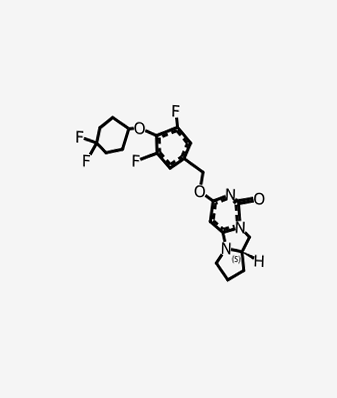 O=c1nc(OCc2cc(F)c(OC3CCC(F)(F)CC3)c(F)c2)cc2n1C[C@@H]1CCCN21